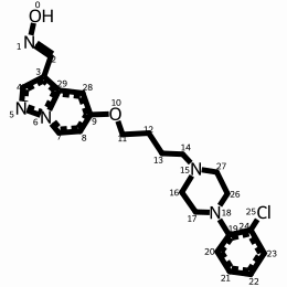 ON=Cc1cnn2ccc(OCCCCN3CCN(c4ccccc4Cl)CC3)cc12